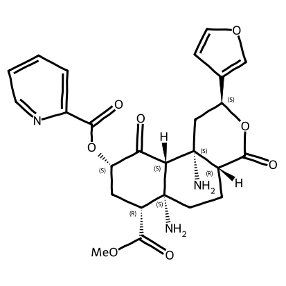 COC(=O)[C@@H]1C[C@H](OC(=O)c2ccccn2)C(=O)[C@H]2[C@@]1(N)CC[C@H]1C(=O)O[C@H](c3ccoc3)C[C@]21N